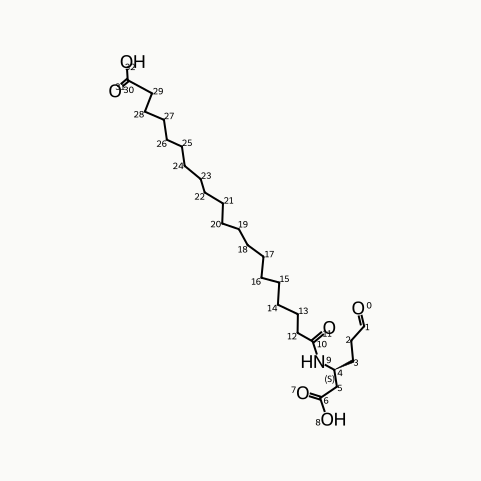 O=CCC[C@@H](CC(=O)O)NC(=O)CCCCCCCCCCCCCCCCCCC(=O)O